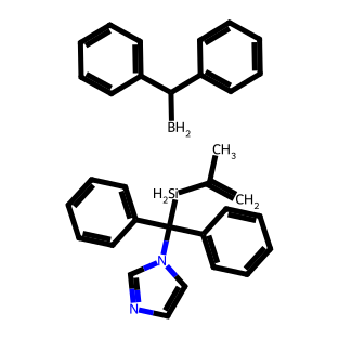 BC(c1ccccc1)c1ccccc1.C=C(C)[SiH2]C(c1ccccc1)(c1ccccc1)n1ccnc1